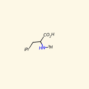 [3H]NC(CC(C)C)C(=O)O